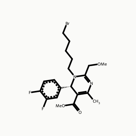 COCC1=NC(C)=C(C(=O)OC)[C@H](c2ccc(F)c(F)c2)N1CCCCCBr